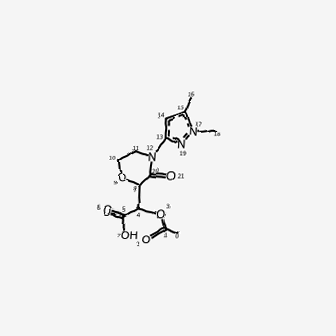 CC(=O)OC(C(=O)O)C1OCCN(c2cc(C)n(C)n2)C1=O